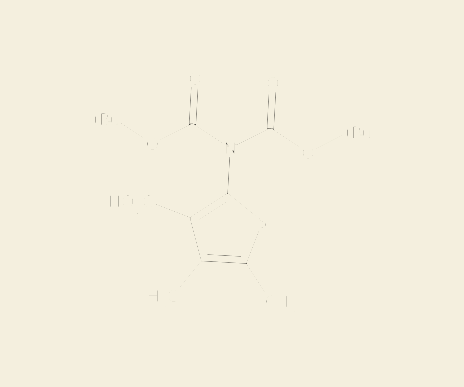 Cc1sc(N(C(=O)OC(C)(C)C)C(=O)OC(C)(C)C)c(C(=O)O)c1C